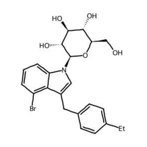 CCc1ccc(Cc2cn([C@@H]3O[C@H](CO)[C@@H](O)[C@H](O)[C@H]3O)c3cccc(Br)c23)cc1